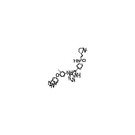 Cc1cc(Nc2ncnc3[nH]c(-c4cccc(NC(=O)/C=C/[C@H]5CCCN5C)c4)cc23)ccc1Oc1ccn2ncnc2c1